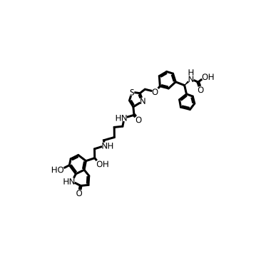 O=C(O)N[C@@H](c1ccccc1)c1cccc(OCc2nc(C(=O)NCCCCNCC(O)c3ccc(O)c4[nH]c(=O)ccc34)cs2)c1